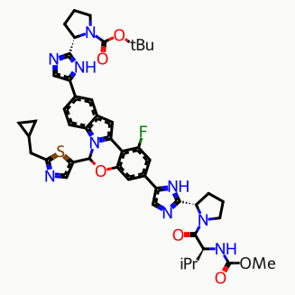 COC(=O)N[C@H](C(=O)N1CCC[C@H]1c1ncc(-c2cc(F)c3c(c2)OC(c2cnc(CC4CC4)s2)n2c-3cc3cc(-c4cnc([C@@H]5CCCN5C(=O)OC(C)(C)C)[nH]4)ccc32)[nH]1)C(C)C